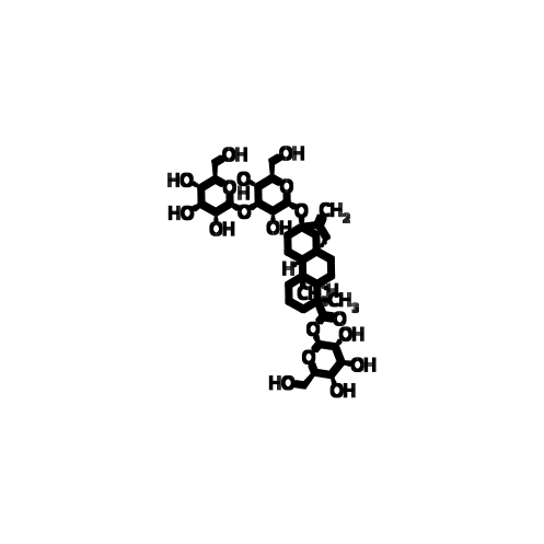 C=C1C[C@]23CC[C@@H]4[C@](C)(CCC[C@@]4(C)C(=O)O[C@@H]4O[C@H](CO)[C@@H](O)[C@H](O)[C@H]4O)[C@H]2CC[C@@]1(O[C@@H]1O[C@H](CO)[C@@H](O)[C@H](O[C@@H]2O[C@H](CO)[C@@H](O)[C@H](O)[C@H]2O)[C@H]1O)C3